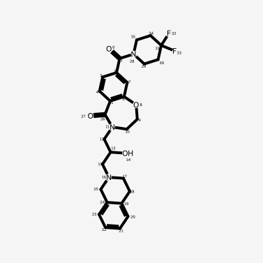 O=C(c1ccc2c(c1)OCCN(CC(O)CN1CCc3ccccc3C1)C2=O)N1CCC(F)(F)CC1